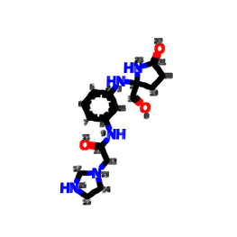 O=CC1(Nc2cccc(NC(=O)CN3CCNC3)c2)CCC(=O)N1